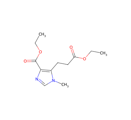 CCOC(=O)CCc1c(C(=O)OCC)ncn1C